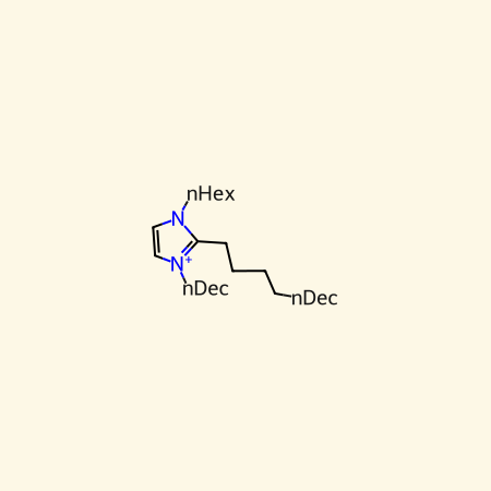 CCCCCCCCCCCCCCc1n(CCCCCC)cc[n+]1CCCCCCCCCC